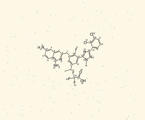 CCc1cc(Cc2cc3cc(N)ccc3c(N)n2)c(F)c(-c2nc(-c3cccc(Cl)c3Cl)nn2C)c1.O=C(O)C(F)(F)F